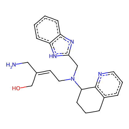 NCC(=CCN(Cc1nc2ccccc2[nH]1)C1CCCc2cccnc21)CO